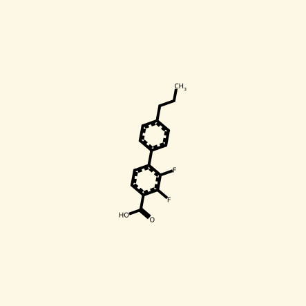 CCCc1ccc(-c2ccc(C(=O)O)c(F)c2F)cc1